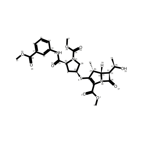 COC(=O)C1=C(S[C@H]2C[C@@H](C(=O)Nc3cccc(C(=O)OC)c3)N(C(=O)OC)C2)[C@H](C)[C@@H]2[C@@H]([C@@H](C)O)C(=O)N12